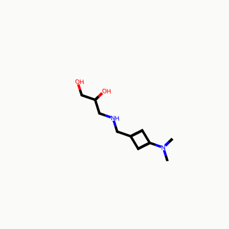 CN(C)C1CC(CNCC(O)CO)C1